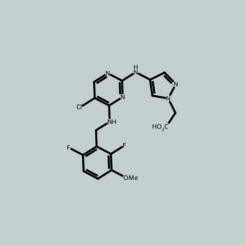 COc1ccc(F)c(CNc2nc(Nc3cnn(CC(=O)O)c3)ncc2Cl)c1F